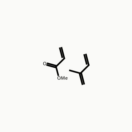 C=CC(=C)C.C=CC(=O)OC